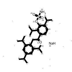 CC(C)c1cc(C(C)C)c(CC(=O)c2ccc(C(C)C)c(OS(N)(=O)=O)c2C(C)C)c(C(C)C)c1.[NaH]